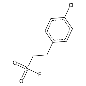 O=S(=O)(F)CCc1ccc(Cl)cc1